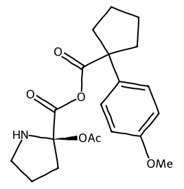 COc1ccc(C2(C(=O)OC(=O)[C@]3(OC(C)=O)CCCN3)CCCC2)cc1